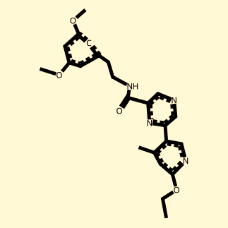 CCOc1cc(C)c(-c2cncc(C(=O)NCCc3cc(OC)cc(OC)c3)n2)cn1